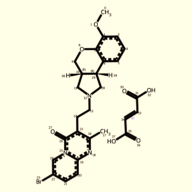 COc1cccc2c1OC[C@H]1CN(CCc3c(C)nc4ccc(Br)cn4c3=O)C[C@@H]21.O=C(O)/C=C/C(=O)O